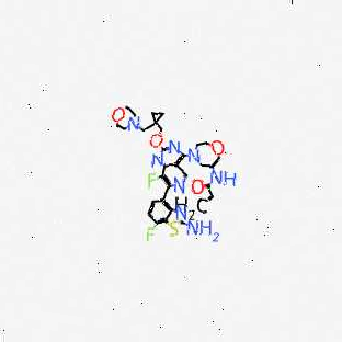 C=CC(=O)N[C@@H]1COCCN(c2nc(OCC3(CN4CCOCC4)CC3)nc3c(F)c(-c4ccc(F)c5sc(N)nc45)ncc23)C1